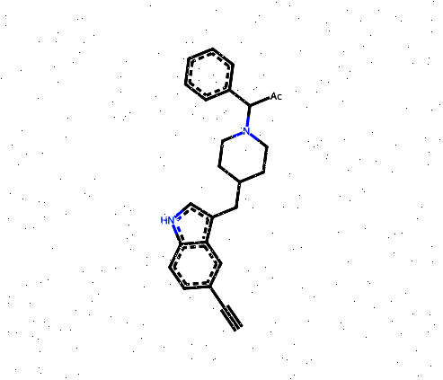 C#Cc1ccc2[nH]cc(CC3CCN(C(C(C)=O)c4ccccc4)CC3)c2c1